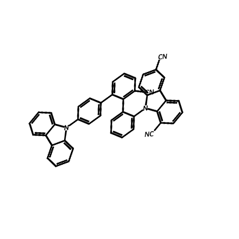 N#Cc1ccc2c(c1)c1cccc(C#N)c1n2-c1ccccc1-c1c(C#N)cccc1-c1ccc(-n2c3ccccc3c3ccccc32)cc1